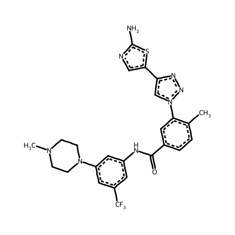 Cc1ccc(C(=O)Nc2cc(N3CCN(C)CC3)cc(C(F)(F)F)c2)cc1-n1cc(-c2cnc(N)s2)nn1